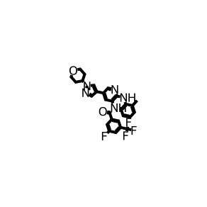 Cc1ccccc1Nc1ncc(-c2cnn(C3CCOCC3)c2)cc1NC(=O)c1cc(F)cc(C(F)(F)F)c1